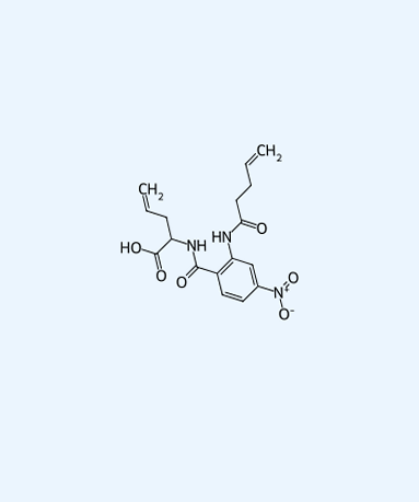 C=CCCC(=O)Nc1cc([N+](=O)[O-])ccc1C(=O)NC(CC=C)C(=O)O